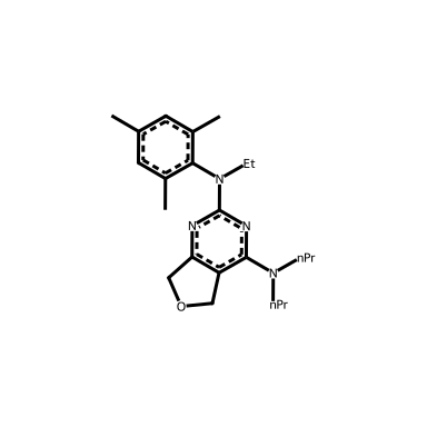 CCCN(CCC)c1nc(N(CC)c2c(C)cc(C)cc2C)nc2c1COC2